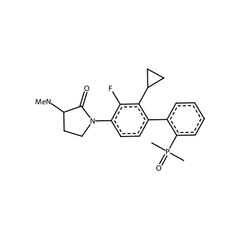 CNC1CCN(c2ccc(-c3ccccc3P(C)(C)=O)c(C3CC3)c2F)C1=O